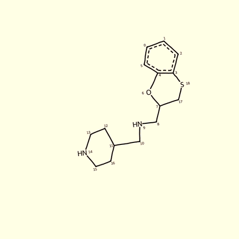 c1ccc2c(c1)OC(CNCC1CCNCC1)CS2